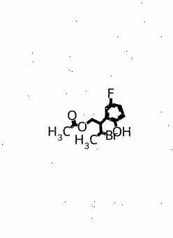 CC(=O)OCC(c1cc(F)ccc1O)C(C)Br